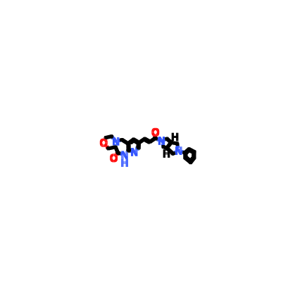 O=C1Nc2ncc(/C=C/C(=O)N3C[C@@H]4CN(c5ccccc5)C[C@@H]4C3)cc2CN2CCOCC12